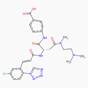 CN(C)CCN(C)C(=O)C[C@H](NC(=O)C=Cc1cc(Cl)ccc1-n1cnnn1)C(=O)Nc1ccc(C(=O)O)cc1